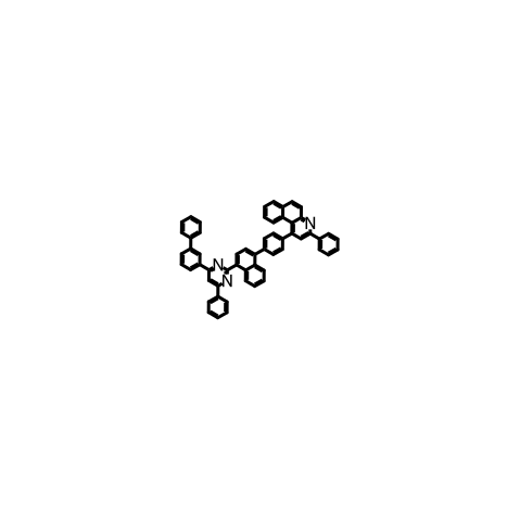 c1ccc(-c2cccc(-c3cc(-c4ccccc4)nc(-c4ccc(-c5ccc(-c6cc(-c7ccccc7)nc7ccc8ccccc8c67)cc5)c5ccccc45)n3)c2)cc1